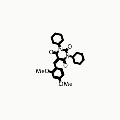 COc1ccc(C=C2C(=O)N(C3CCCCC3)C(=O)N(C3CCCCC3)C2=O)c(OC)c1